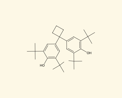 CC(C)(C)c1cc(C2(c3cc(C(C)(C)C)c(O)c(C(C)(C)C)c3)CCC2)cc(C(C)(C)C)c1O